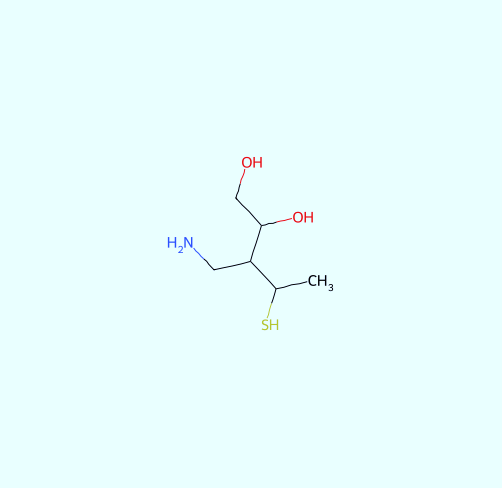 CC(S)C(CN)C(O)CO